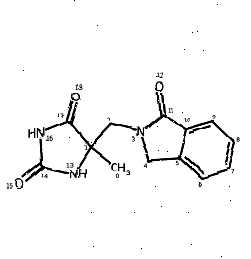 CC1(CN2Cc3ccccc3C2=O)NC(=O)NC1=O